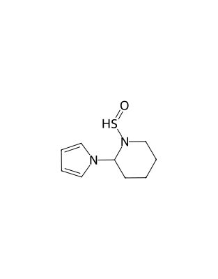 O=[SH]N1CCCCC1n1cccc1